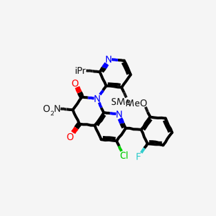 COc1cccc(F)c1-c1nc2c(cc1Cl)C(=O)C([N+](=O)[O-])C(=O)N2c1c(SC)ccnc1C(C)C